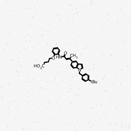 CC(=CC(=O)Nc1ccccc1OCCCC(=O)O)c1ccc2c(ccn2Cc2ccc(C(C)(C)C)cc2)c1